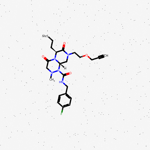 C#CCOCCN1C[C@H]2N(C(=O)CN(C)N2C(=O)NCc2ccc(F)cc2)[C@@H](CCSC)C1=O